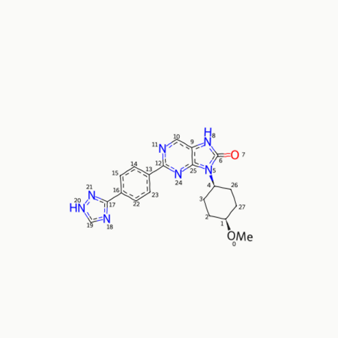 CO[C@H]1CC[C@@H](n2c(=O)[nH]c3cnc(-c4ccc(-c5nc[nH]n5)cc4)nc32)CC1